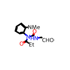 CCC(=O)N(C(=O)NC[C]=O)c1ccccc1NC